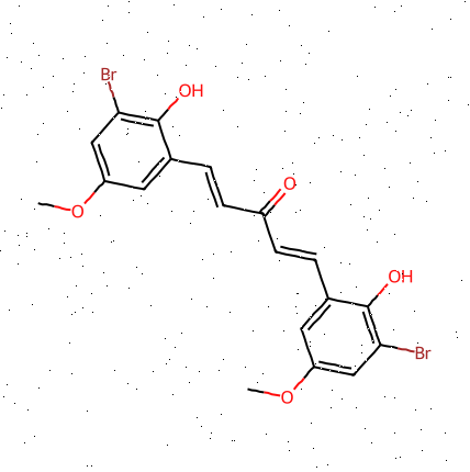 COc1cc(Br)c(O)c(C=CC(=O)C=Cc2cc(OC)cc(Br)c2O)c1